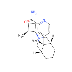 CO[C@]1(c2ccnc(C(N)=O)c2)[C@@H]2CCC[C@H]1CN([C@@H]1CC[C@@H]1C)C2